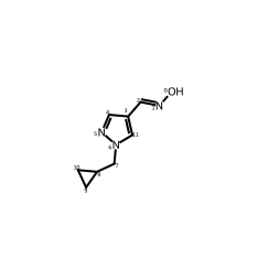 ON=Cc1cnn(CC2CC2)c1